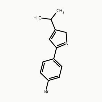 CC(C)C1=CC(c2ccc(Br)cc2)=NC1